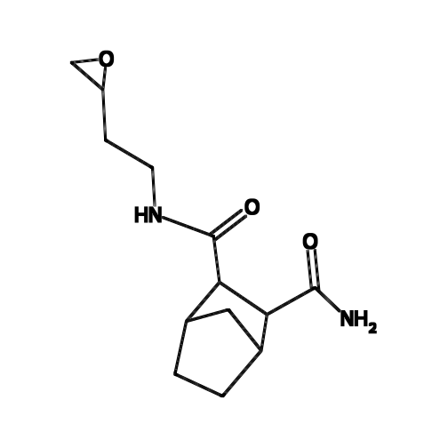 NC(=O)C1C2CCC(C2)C1C(=O)NCCC1CO1